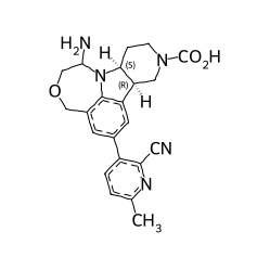 Cc1ccc(-c2cc3c4c(c2)[C@@H]2CN(C(=O)O)CC[C@@H]2N4C(N)COC3)c(C#N)n1